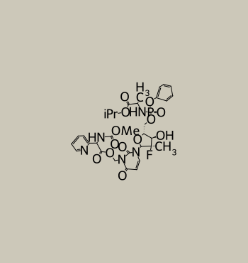 COC(=O)NC(C(=O)OCn1c(=O)ccn([C@@H]2O[C@H](COP(=O)(N[C@@H](C)C(=O)OC(C)C)Oc3ccccc3)[C@@H](O)[C@@]2(C)F)c1=O)c1ccccn1